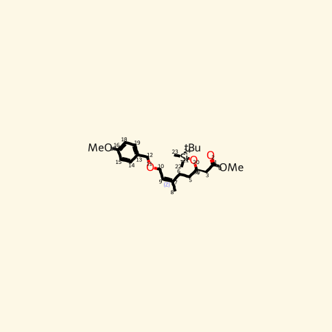 COC(=O)C[C@@H](CC/C(C)=C\COCc1ccc(OC)cc1)O[Si](C)(C)C(C)(C)C